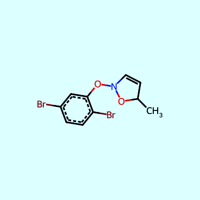 CC1C=CN(Oc2cc(Br)ccc2Br)O1